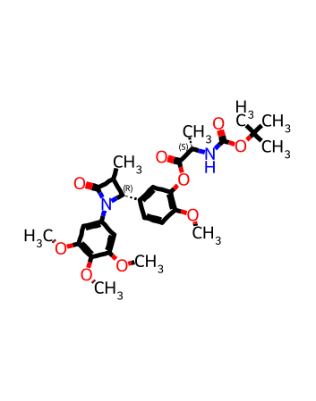 COc1ccc([C@H]2C(C)C(=O)N2c2cc(OC)c(OC)c(OC)c2)cc1OC(=O)[C@H](C)NC(=O)OC(C)(C)C